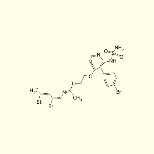 CC\C(C)=C/C(Br)=C\N=C(/C)OCCOc1ncnc(NS(N)(=O)=O)c1-c1ccc(Br)cc1